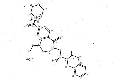 CCN1CCN(CC(O)C2Cc3ccccc3CN2)C(=O)c2ccc(C(=O)N3C4CCC3COC4)cc21.Cl